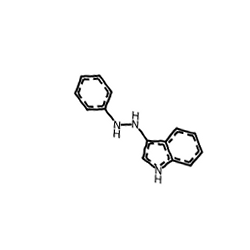 c1ccc(NNc2c[nH]c3ccccc23)cc1